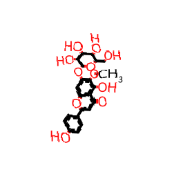 COc1c(OC2OC(CO)C(O)C(O)C2O)cc2oc(-c3ccc(O)cc3)cc(=O)c2c1O